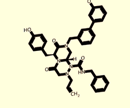 C=CCN1CC(=O)N2[C@@H](Cc3ccc(O)cc3)C(=O)N(Cc3cccc(-c4cccc(OC)c4)c3)C[C@@H]2N1C(=O)NCc1ccccc1